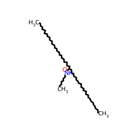 CCCCCCCCCCCCCCCCCCCCCCCCCCC(CCCCCCCCCCCCCCCCCCCCCCCCC)C(=O)NCCCCCCCC